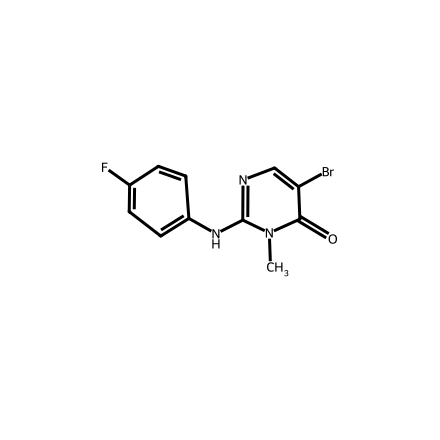 Cn1c(Nc2ccc(F)cc2)ncc(Br)c1=O